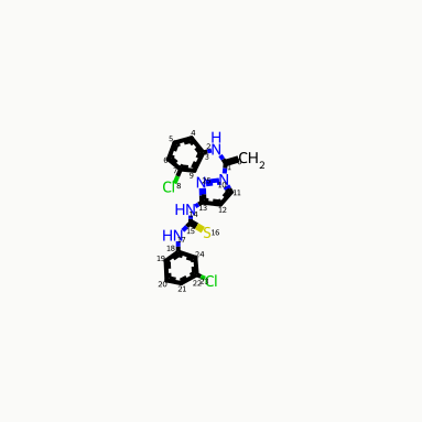 C=C(Nc1cccc(Cl)c1)n1ccc(NC(=S)Nc2cccc(Cl)c2)n1